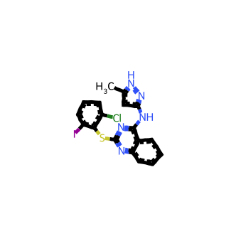 Cc1cc(Nc2nc(Sc3c(Cl)cccc3I)nc3ccccc23)n[nH]1